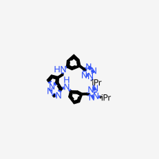 CC(C)n1nnc(-c2cccc(NCc3ccn4ncnc(Nc5cccc(-c6nnn(C(C)C)n6)c5)c34)c2)n1